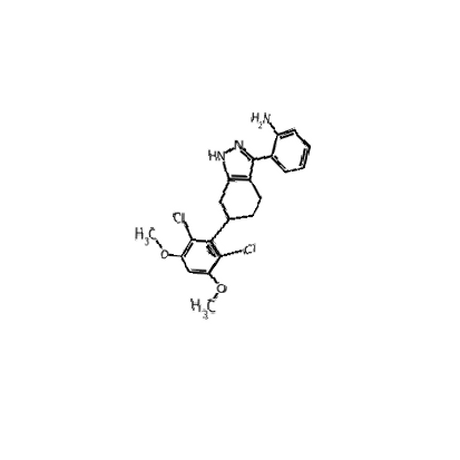 COc1cc(OC)c(Cl)c(C2CCc3c(-c4ccccc4N)n[nH]c3C2)c1Cl